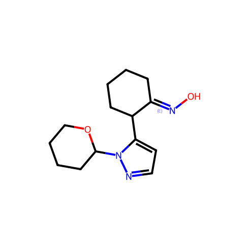 O/N=C1\CCCCC1c1ccnn1C1CCCCO1